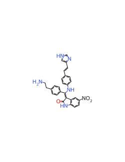 NCCc1ccc(C(Nc2ccc(C=Cc3c[nH]cn3)cc2)=C2C(=O)Nc3ccc([N+](=O)[O-])cc32)cc1